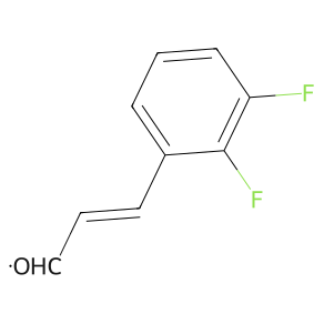 O=[C]/C=C/c1cccc(F)c1F